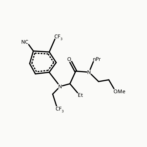 CCCN(CCOC)C(=O)C(CC)N(CC(F)(F)F)c1ccc(C#N)c(C(F)(F)F)c1